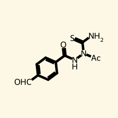 CC(=O)N(NC(=O)c1ccc(C=O)cc1)C(N)=S